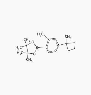 Cc1cc(C2(C)CCC2)ccc1B1OC(C)(C)C(C)(C)O1